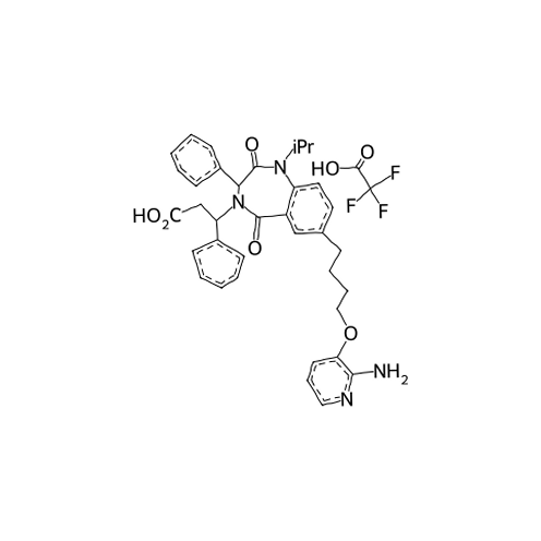 CC(C)N1C(=O)C(c2ccccc2)N(C(CC(=O)O)c2ccccc2)C(=O)c2cc(CCCCOc3cccnc3N)ccc21.O=C(O)C(F)(F)F